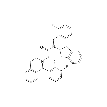 O=C(CN1CCc2ccccc2C1c1cccc(F)c1F)N(Cc1ccccc1F)C1Cc2ccccc2C1